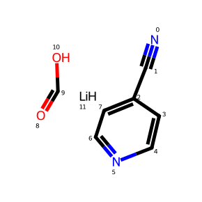 N#Cc1ccncc1.O=CO.[LiH]